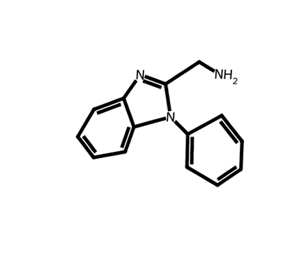 NCc1nc2ccccc2n1-c1ccccc1